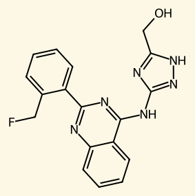 OCc1nc(Nc2nc(-c3ccccc3CF)nc3ccccc23)n[nH]1